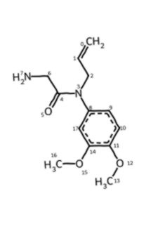 C=CCN(C(=O)CN)c1ccc(OC)c(OC)c1